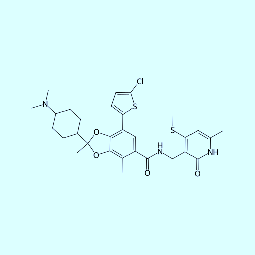 CSc1cc(C)[nH]c(=O)c1CNC(=O)c1cc(-c2ccc(Cl)s2)c2c(c1C)OC(C)(C1CCC(N(C)C)CC1)O2